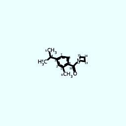 Cc1cc(C(C)C)ccc1C(=O)N1CCC1